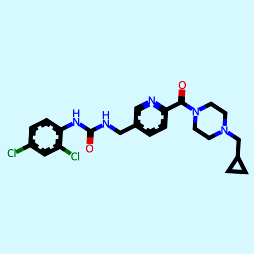 O=C(NCc1ccc(C(=O)N2CCN(CC3CC3)CC2)nc1)Nc1ccc(Cl)cc1Cl